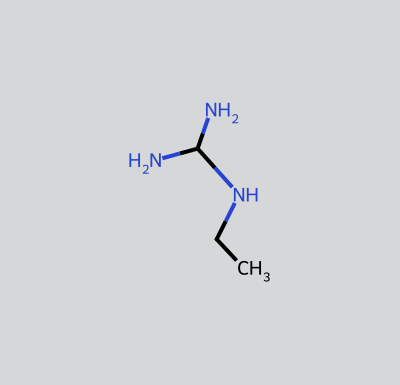 CCNC(N)N